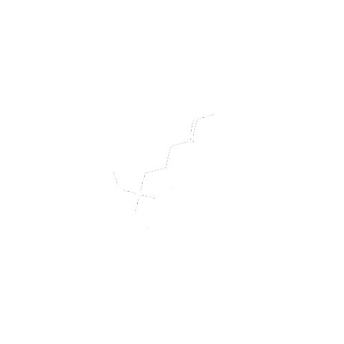 CCO[Si](CCCN=CC=O)(OCC)OCC